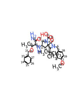 COc1ccc(CN2C(=O)C3(CC(NC(C(N)=O)C(C)OCc4ccccc4)CN3C(=O)O)C2C(C)(C)C)cc1